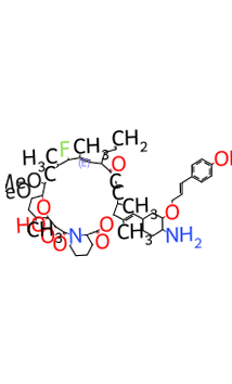 C=CCC1/C=C(\C)C(F)C(C)CC(OC)C2OC(O)(C(=O)C(=O)N3CCCCC3C(=O)OC(C(C)=CC3CCC(N)C(OCC=Cc4ccc(O)cc4)C3)C(C)CCC1=O)C(C)CC2OC